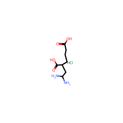 Cl.NC(N)CC(CCCC(=O)O)C(=O)O